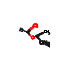 C=C(OC)OC(=O)CC